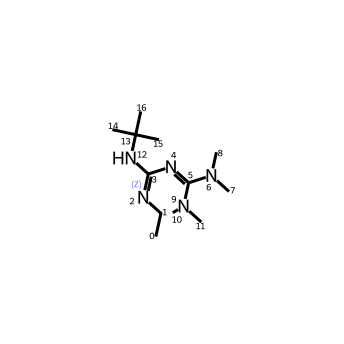 CC/N=C(\N=C(N(C)C)N(C)C)NC(C)(C)C